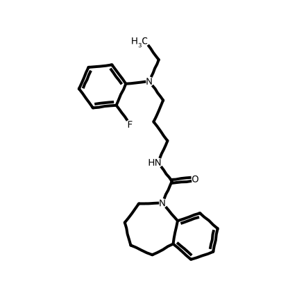 CCN(CCCNC(=O)N1CCCCc2ccccc21)c1ccccc1F